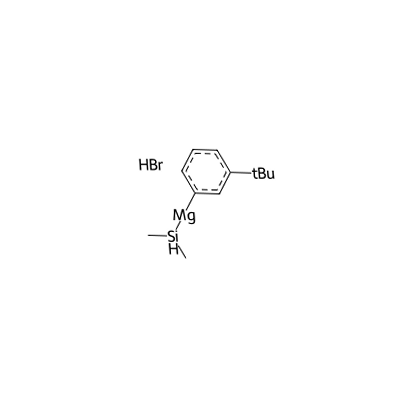 Br.C[SiH](C)[Mg][c]1cccc(C(C)(C)C)c1